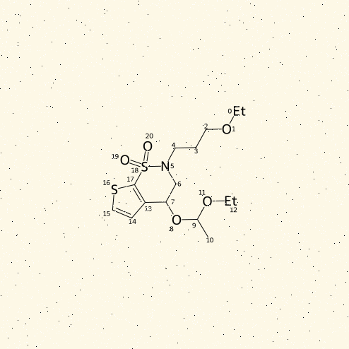 CCOCCCN1CC(OC(C)OCC)c2ccsc2S1(=O)=O